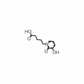 O=C(O)CCCCn1cccc(O)c1=O